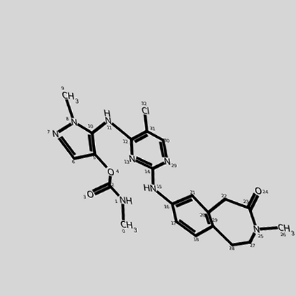 CNC(=O)Oc1cnn(C)c1Nc1nc(Nc2ccc3c(c2)CC(=O)N(C)CC3)ncc1Cl